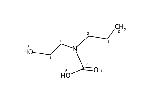 CCCN(CCO)C(=O)O